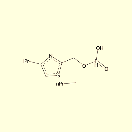 CC(C)c1csc(CO[PH](=O)O)n1.CCCC